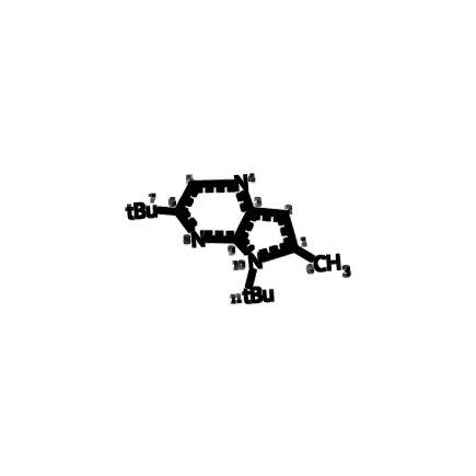 Cc1cc2ncc(C(C)(C)C)nc2n1C(C)(C)C